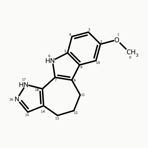 COc1ccc2[nH]c3c(c2c1)CCCc1cn[nH]c1-3